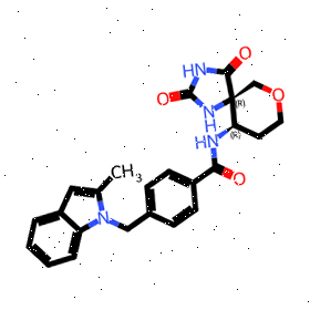 Cc1cc2ccccc2n1Cc1ccc(C(=O)N[C@@H]2CCOC[C@]23NC(=O)NC3=O)cc1